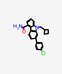 NC(=O)c1cccc2c1c1[c]cc(-c3ccc(Cl)cc3)cc1n2CC1CCC1